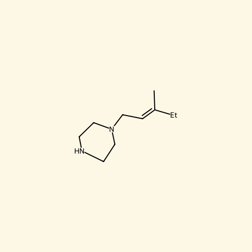 CCC(C)=CCN1CCNCC1